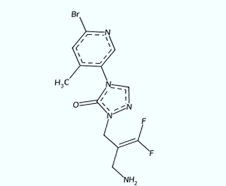 Cc1cc(Br)ncc1-n1cnn(CC(CN)=C(F)F)c1=O